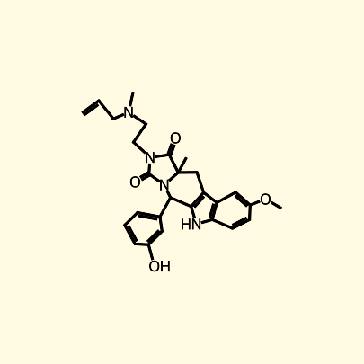 C=CCN(C)CCN1C(=O)N2C(c3cccc(O)c3)c3[nH]c4ccc(OC)cc4c3CC2(C)C1=O